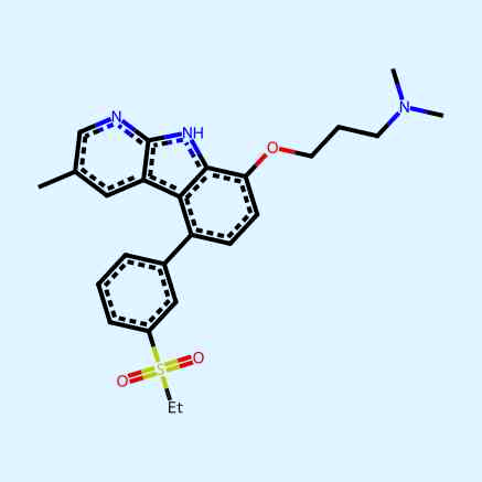 CCS(=O)(=O)c1cccc(-c2ccc(OCCCN(C)C)c3[nH]c4ncc(C)cc4c23)c1